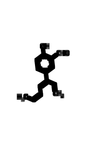 C=C/C(=C\C=C/C)c1ccc(O)c(C=O)c1